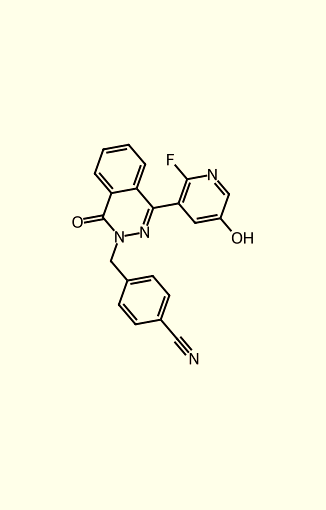 N#Cc1ccc(Cn2nc(-c3cc(O)cnc3F)c3ccccc3c2=O)cc1